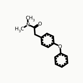 CN(C)C(=O)Cc1ccc(Oc2ccccc2)cc1